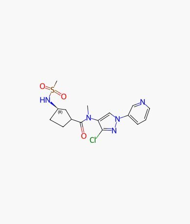 CN(C(=O)C1CC[C@@H](NS(C)(=O)=O)C1)c1cn(-c2cccnc2)nc1Cl